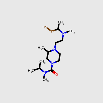 CC(SS)N(C)CCN1CCN(C(=O)N(C)C(C)C)CC1C